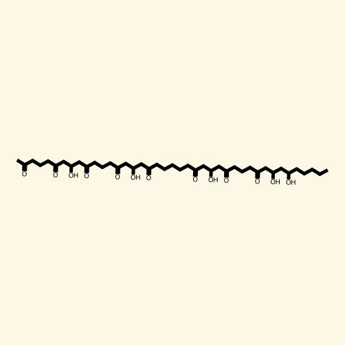 CCCCCC(O)CC(O)CC(=O)CCCC(=O)CC(O)CC(=O)CCCCCC(=O)CC(O)CC(=O)CCCC(=O)CC(O)CC(=O)CCCC(C)=O